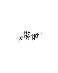 CCCNC(=O)NCCNCC(=O)O